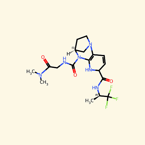 C[C@@H](NC(=O)C1C=CC2=C(N1)N(C(=O)NCC(=O)N(C)C)[C@H]1CCN2C1)C(F)(F)F